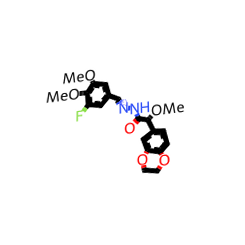 COc1cc(/C=N/NC(=O)C(OC)c2ccc3c(c2)OCCO3)cc(F)c1OC